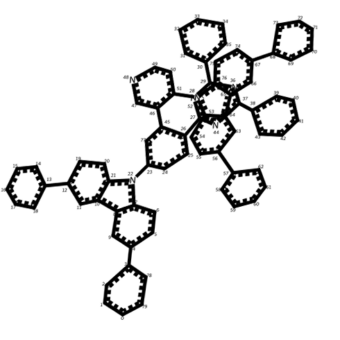 c1ccc(-c2ccc3c(c2)c2cc(-c4ccccc4)ccc2n3-c2ccc(-c3nc(-c4ccccc4)nc(-c4ccccc4)n3)c(-c3cnccc3-n3c4ccc(-c5ccccc5)cc4c4cc(-c5ccccc5)ccc43)c2)cc1